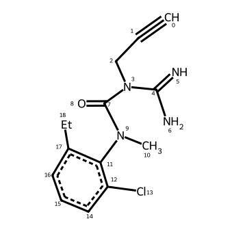 C#CCN(C(=N)N)C(=O)N(C)c1c(Cl)cccc1CC